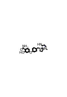 CN/C=C\C(=N)[C@@H]1CCCN1Cc1ccc(Oc2ccc(C(N)=O)c(O)c2)cc1